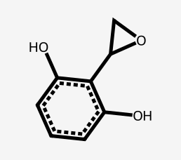 Oc1cccc(O)c1C1CO1